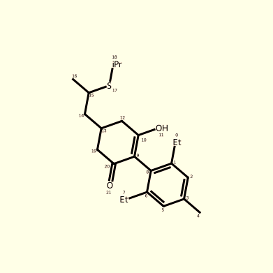 CCc1cc(C)cc(CC)c1C1=C(O)CC(CC(C)SC(C)C)CC1=O